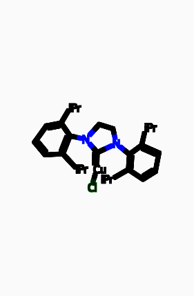 CC(C)c1cccc(C(C)C)c1N1CCN(c2c(C(C)C)cccc2C(C)C)[C]1=[Cu][Cl]